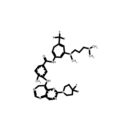 Cc1ccc(C(=O)NC2=CCC(C(F)(F)F)=CC(N(C)CCCN(C)C)=C2)cc1NC1=c2nc(N3CCC(F)(F)CC3)ncc2=NC=NC1